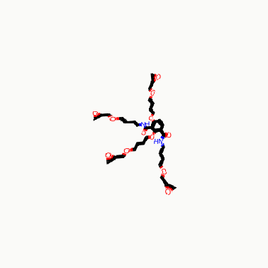 O=C(NCCCCOCC1CO1)c1ccc(OCCCCOCC2CO2)c(C(=O)NCCCCOCC2CO2)c1OCCCCOCC1CO1